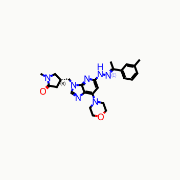 C/C(=N\Nc1cc(N2CCOCC2)c2ncn(C[C@@H]3CC(=O)N(C)C3)c2n1)c1cccc(C)c1